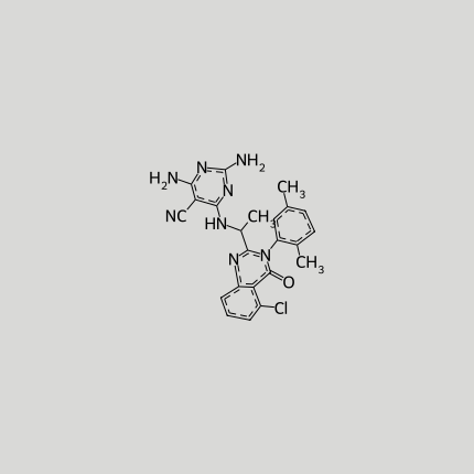 Cc1ccc(C)c(-n2c(C(C)Nc3nc(N)nc(N)c3C#N)nc3cccc(Cl)c3c2=O)c1